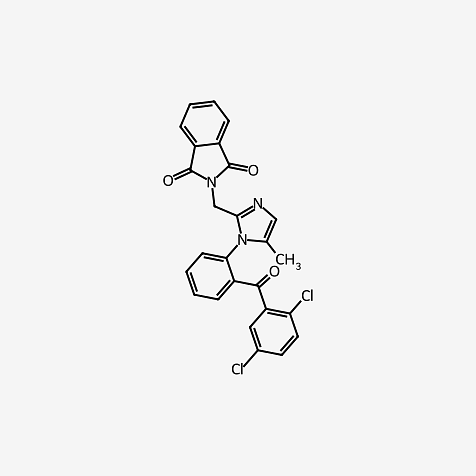 Cc1cnc(CN2C(=O)c3ccccc3C2=O)n1-c1ccccc1C(=O)c1cc(Cl)ccc1Cl